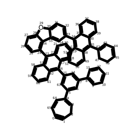 C1#CCC=C(c2cc(-c3ccccc3)cc(-c3c4ccccc4c(-c4cccc5oc6ccc(-c7c8ccccc8c(C8=CC=CCC8)c8ccccc78)cc6c45)c4ccccc34)c2)C=C1